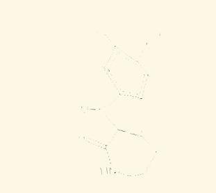 O=C1NCCCCC1[S+]([O-])c1ccc(Cl)c(Cl)c1